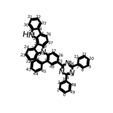 c1ccc(-c2nc(-c3ccccc3)nc(-c3ccc(-n4c5ccccc5c5c6[nH]c7ccccc7c6ccc54)c(-c4ccccc4)c3)n2)cc1